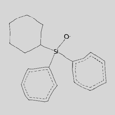 [O][Si](c1ccccc1)(c1ccccc1)C1CCCCC1